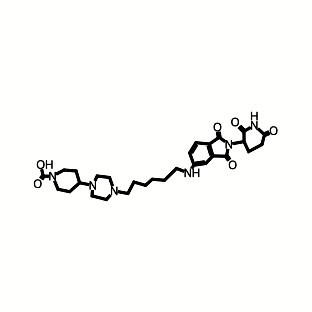 O=C1CCC(N2C(=O)c3ccc(NCCCCCCN4CCN(C5CCN(C(=O)O)CC5)CC4)cc3C2=O)C(=O)N1